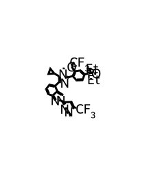 CCP(=O)(CC)c1ccc(-c2nc(-c3cccc4nn(-c5cc(C(F)(F)F)n(C)n5)cc34)c(C3CC3)n2C)c(OC(F)(F)F)c1